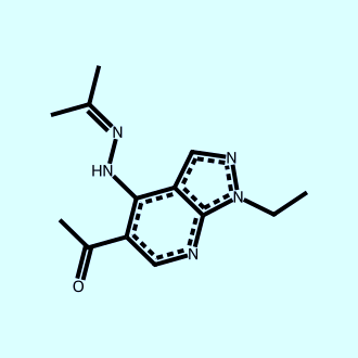 CCn1ncc2c(NN=C(C)C)c(C(C)=O)cnc21